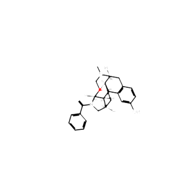 CN1CC[C@@]23c4cc(O)ccc4C[C@@H]1[C@]21CC[C@@H]2[C@H]3[C@@H](CN2C(=O)c2ccccc2)C1